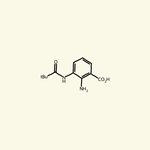 CC(C)(C)C(=O)Nc1cccc(C(=O)O)c1N